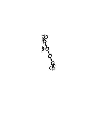 C=C(C)C(=O)Oc1ccc(C#Cc2ccc(C#Cc3ccc(C#Cc4ccc(OC(=O)C(=C)C)cc4)c(C(F)F)c3)cc2)cc1